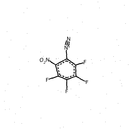 N#[N+]c1c(F)c(F)c(F)c(F)c1[N+](=O)[O-]